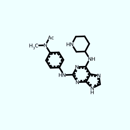 CC(=O)N(C)c1ccc(Nc2nc(NC3CCCNC3)c3nc[nH]c3n2)cc1